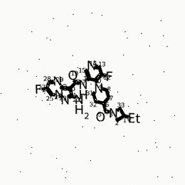 CCC1CN(C(=O)C2CCN(c3c(F)cncc3NC(=O)c3c(N)nn4cc(F)cnc34)CC2)C1